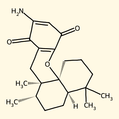 C[C@H]1CC[C@@H]2C(C)(C)CCC[C@]23OC2=C(C[C@]13C)C(=O)C(N)=CC2=O